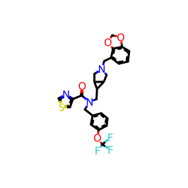 O=C(c1cscn1)N(Cc1cccc(OC(F)(F)F)c1)CC1C2CN(Cc3cccc4c3OCO4)CC21